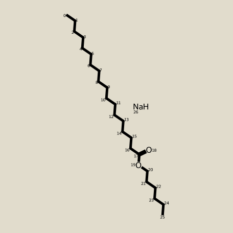 CCCCCCCCCCCCCCCCCC(=O)OCCCCCC.[NaH]